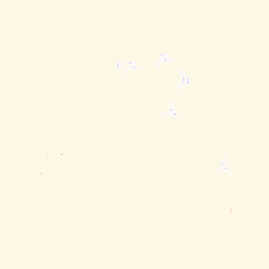 Nc1ncnc2c1c(-c1cccc(OCC34CCC(CC3)O4)c1)cn2C1CC(CN2CC(O)C2)C1